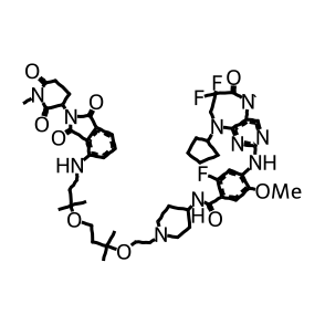 COc1cc(C(=O)NC2CCN(CCOC(C)(C)CCOC(C)(C)CCNc3cccc4c3C(=O)N(C3CCC(=O)N(C)C3=O)C4=O)CC2)c(F)cc1Nc1ncc2c(n1)N(C1CCCC1)CC(F)(F)C(=O)N2C